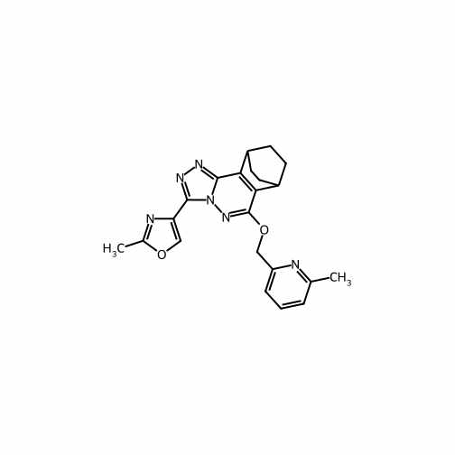 Cc1cccc(COc2nn3c(-c4coc(C)n4)nnc3c3c2C2CCC3CC2)n1